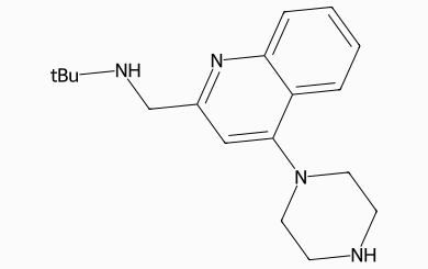 CC(C)(C)NCc1cc(N2CCNCC2)c2ccccc2n1